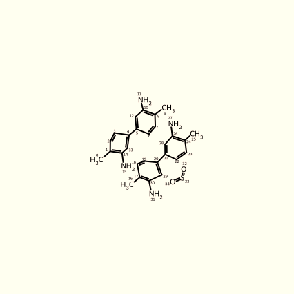 Cc1ccc(-c2ccc(C)c(N)c2)cc1N.Cc1ccc(-c2ccc(C)c(N)c2)cc1N.O=S=O